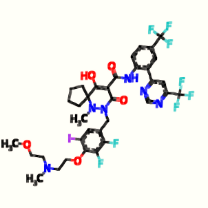 COCCN(C)CCOc1c(I)cc(CN2C(=O)C(C(=O)Nc3ccc(C(F)(F)F)cc3-c3cc(C(F)(F)F)ncn3)=C(O)C3(CCCC3)N2C)c(F)c1F